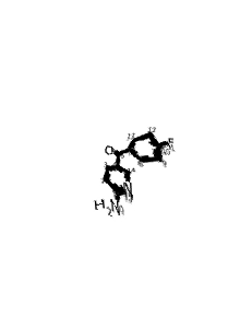 Nc1ccc(C(=O)c2ccc(F)cc2)cn1